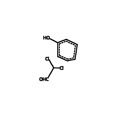 O=CC(Cl)Cl.Oc1ccccc1